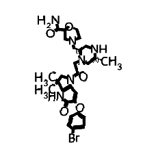 C[C@@H]1CN(CC(=O)N2CC(C)(C)c3[nH]c(=O)c(Oc4ccc(Br)cc4)cc32)[C@@H](CN2CCOC(C(N)=O)C2)CN1